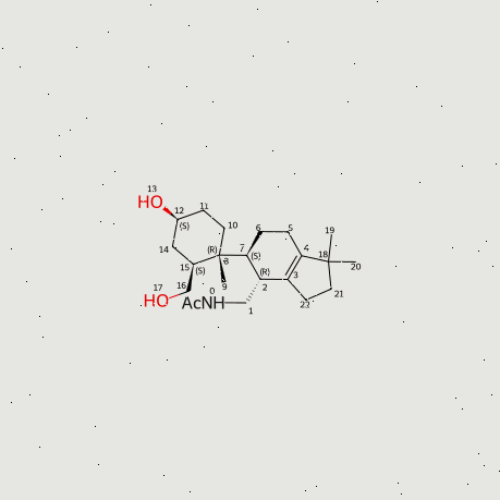 CC(=O)NC[C@H]1C2=C(CC[C@@H]1[C@@]1(C)CC[C@H](O)C[C@@H]1CO)C(C)(C)CC2